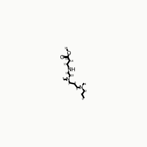 CCCN(C)CCCN(C)CCNCCC(=O)OC